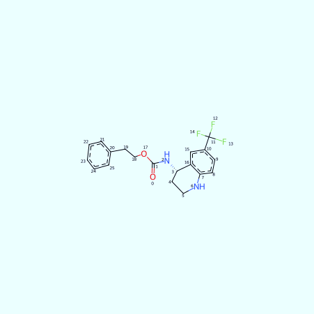 O=C(N[C@H]1CCNc2ccc(C(F)(F)F)cc21)OCCc1ccccc1